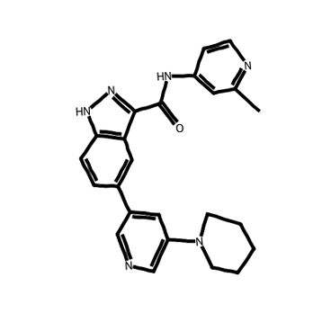 Cc1cc(NC(=O)c2n[nH]c3ccc(-c4cncc(N5CCCCC5)c4)cc23)ccn1